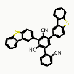 N#Cc1ccccc1-c1cc(-c2ccc3sc4ccccc4c3c2)c(C#N)c(-c2ccc3sc4ccccc4c3c2)c1C#N